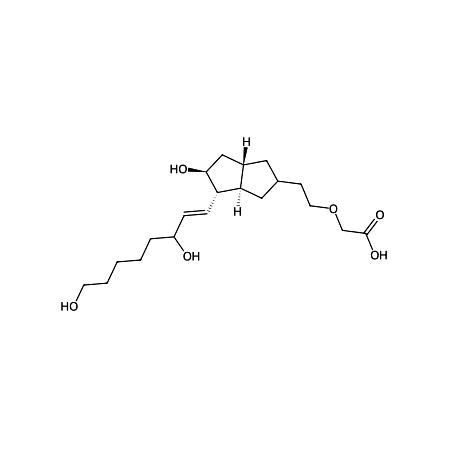 O=C(O)COCCC1C[C@H]2C[C@H](O)[C@@H](C=CC(O)CCCCCO)[C@@H]2C1